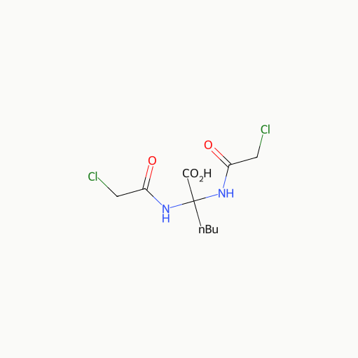 CCCCC(NC(=O)CCl)(NC(=O)CCl)C(=O)O